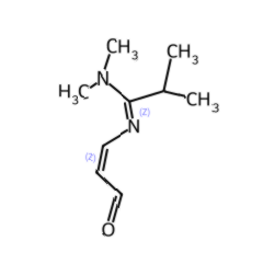 CC(C)/C(=N/C=C\C=O)N(C)C